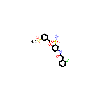 CS(=O)(=O)c1cccc(COc2ccc(NC(=O)Cc3ccccc3Cl)cc2S(N)(=O)=O)c1